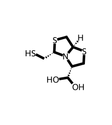 OC(O)[C@H]1CS[C@@H]2CS[C@@H](CS)N12